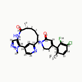 C[C@@H]1CCCC(N2CCC(c3c(C(F)(F)F)ccc(Cl)c3F)=CC2=O)c2cc(ccn2)-c2c(cnn2C)NC1=O